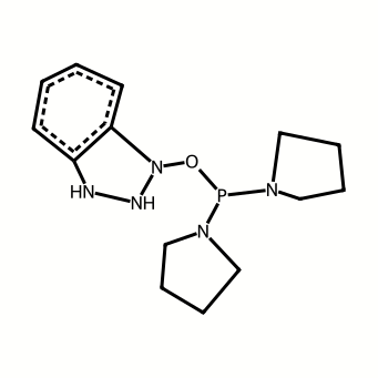 c1ccc2c(c1)NNN2OP(N1CCCC1)N1CCCC1